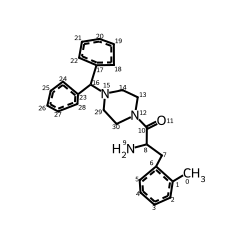 Cc1ccccc1CC(N)C(=O)N1CCN(C(c2ccccc2)c2ccccc2)CC1